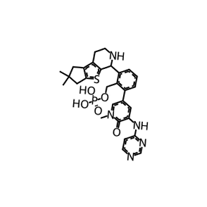 Cn1cc(-c2cccc(C3NCCc4c3sc3c4CC(C)(C)C3)c2COP(=O)(O)O)cc(Nc2ccncn2)c1=O